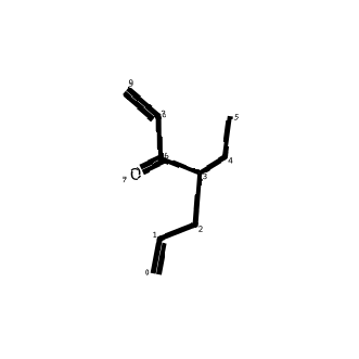 C=CCC(CC)C(=O)C=C